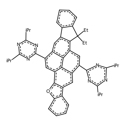 CCC1(CC)c2ccccc2-c2cc3c(-c4nc(C(C)C)nc(C(C)C)n4)cc4c5oc6ccccc6c5cc5c(-c6nc(C(C)C)nc(C(C)C)n6)cc(c21)c3c54